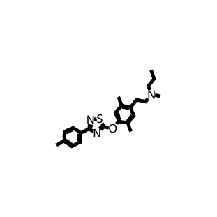 CCCN(C)CCc1cc(C)c(Oc2nc(-c3ccc(C)cc3)ns2)cc1C